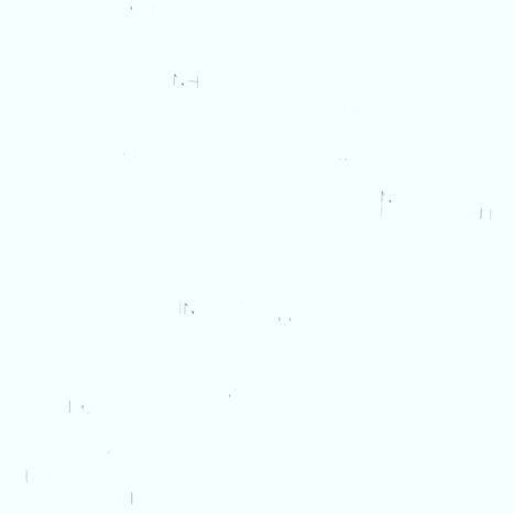 CCNC(=O)c1cc(C(=O)NCC)cc(C(=O)N/C(C)=C/CC(C)(C)C)c1